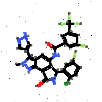 Cn1nc2c3c(c(NC(=O)c4cc(F)cc(C(F)(F)F)c4)cc2c1-c1cn[nH]c1)C(c1cc(F)ccc1Cl)NC3=O